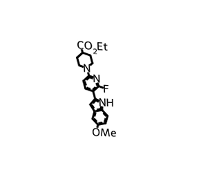 CCOC(=O)C1CCN(c2ccc(-c3cc4cc(OC)ccc4[nH]3)c(F)n2)CC1